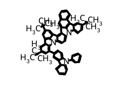 CC(C)(C)c1ccc2c(c1)c1c3ccccc3cc3c4c5c6cc(C(C)(C)C)cc7c8cc(C(C)(C)C)cc(-c9ccc%10c(c9)c9ccccc9n%10-c9ccccc9)c8n(c5ccc4n2c31)c76